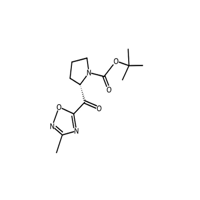 Cc1noc(C(=O)[C@@H]2CCCN2C(=O)OC(C)(C)C)n1